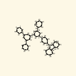 c1ccc(-c2cc(-c3ccccc3)cc(-c3cc(-c4ccc(-n5c6ccccc6c6ccncc65)cc4)cc(-c4ccccn4)n3)c2)cc1